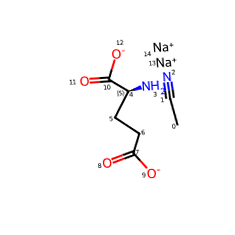 CC#N.N[C@@H](CCC(=O)[O-])C(=O)[O-].[Na+].[Na+]